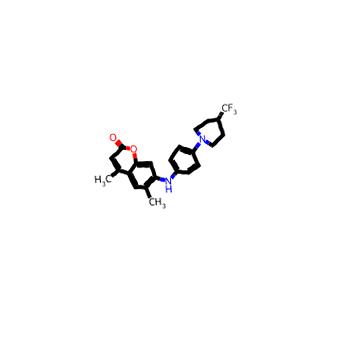 Cc1cc2c(C)cc(=O)oc2cc1Nc1ccc(N2CCC(C(F)(F)F)CC2)cc1